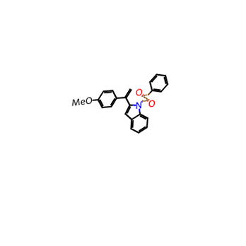 C=C(c1ccc(OC)cc1)c1cc2ccccc2n1S(=O)(=O)c1ccccc1